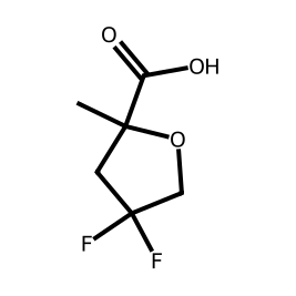 CC1(C(=O)O)CC(F)(F)CO1